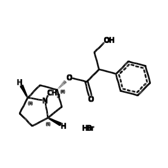 Br.CN1[C@@H]2CC[C@H]1C[C@@H](OC(=O)C(CO)c1ccccc1)C2